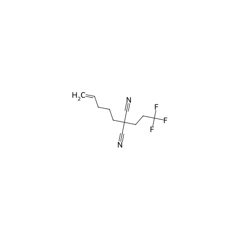 C=CCCCC(C#N)(C#N)CCC(F)(F)F